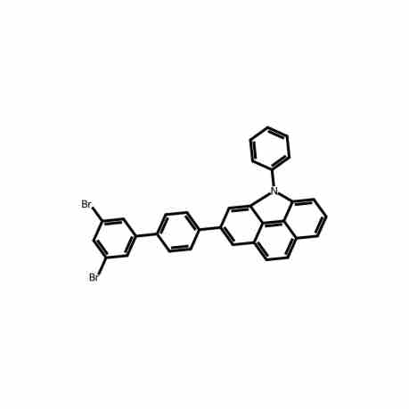 Brc1cc(Br)cc(-c2ccc(-c3cc4ccc5cccc6c5c4c(c3)n6-c3ccccc3)cc2)c1